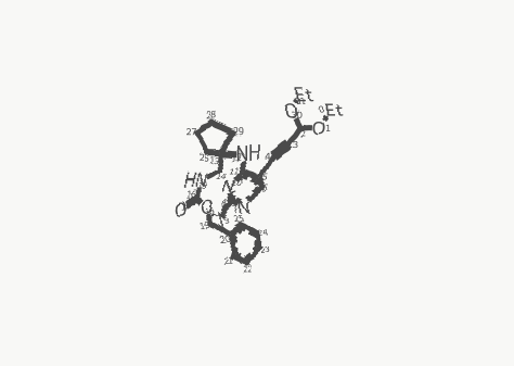 CCOC(C#Cc1cnc(Cl)nc1NC1(CNC(=O)OCc2ccccc2)CCCC1)OCC